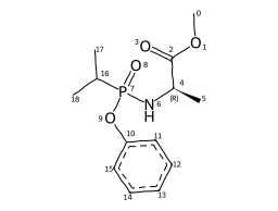 COC(=O)[C@@H](C)NP(=O)(Oc1ccccc1)C(C)C